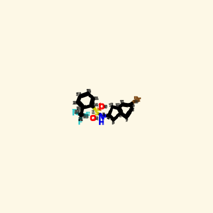 O=S(=O)(NC1Cc2ccc(Br)cc2C1)c1ccccc1C(F)(F)F